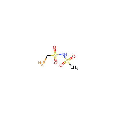 CS(=O)(=O)NS(=O)(=O)CP